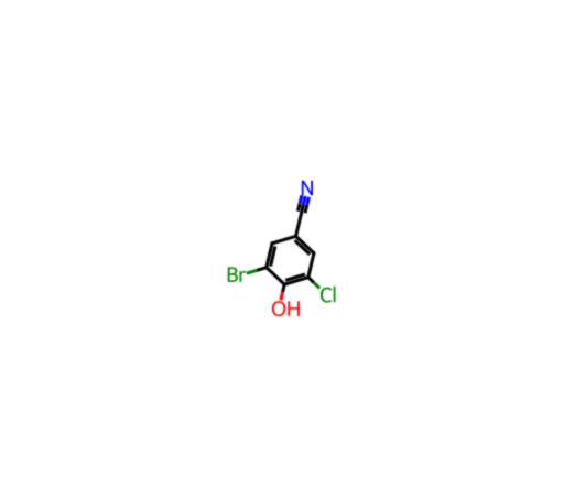 N#Cc1cc(Cl)c(O)c(Br)c1